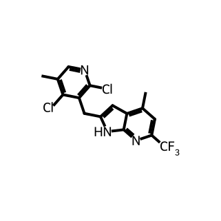 Cc1cnc(Cl)c(Cc2cc3c(C)cc(C(F)(F)F)nc3[nH]2)c1Cl